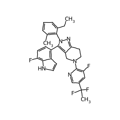 CCc1cccc(C)c1-n1nc2c(c1-c1ccc(F)c3[nH]ccc13)CN(c1ncc(C(C)(F)F)cc1F)CC2